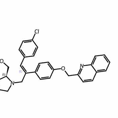 OC[C@@H]1CCCN1C/C(=C/c1ccc(Cl)cc1)c1ccc(OCc2ccc3ccccc3n2)cc1